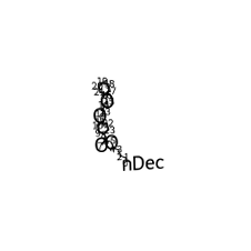 CCCCCCCCCCCCCCOC(=O)c1ccc(OCCOc2ccccc2)cc1